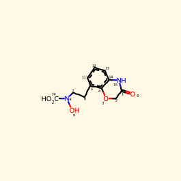 O=C1COc2c(CCN(O)C(=O)O)cccc2N1